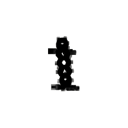 COC1(CO)C2C=CC1c1cc3c(cc12)Cc1cc2c(cc1C3)C1C=CC2C1(CO)OC